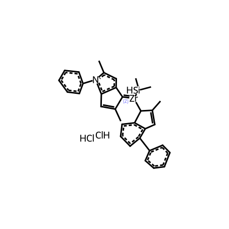 CC1=Cc2c(cc(C)n2-c2ccccc2)/[C]1=[Zr](/[CH]1C(C)=Cc2c(-c3ccccc3)cccc21)[SiH](C)C.Cl.Cl